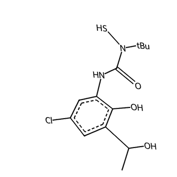 CC(O)c1cc(Cl)cc(NC(=O)N(S)C(C)(C)C)c1O